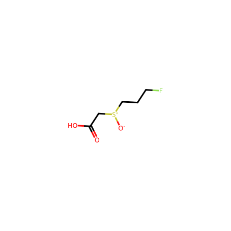 O=C(O)C[S+]([O-])CCCF